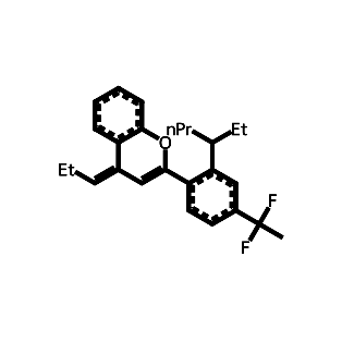 CC/C=C1/C=C(c2ccc(C(C)(F)F)cc2C(CC)CCC)Oc2ccccc21